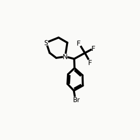 FC(F)(F)C(c1ccc(Br)cc1)N1CCSCC1